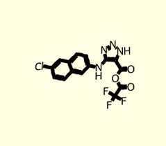 O=C(OC(=O)C(F)(F)F)c1[nH]nnc1Nc1ccc2cc(Cl)ccc2c1